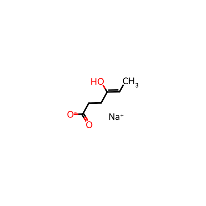 CC=C(O)CCC(=O)[O-].[Na+]